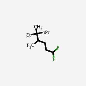 CCCC(C)(CC)C(CCC(F)F)C(F)(F)F